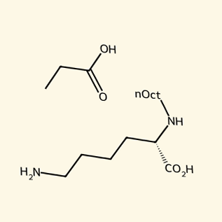 CCC(=O)O.CCCCCCCCN[C@@H](CCCCN)C(=O)O